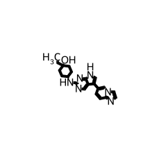 CC[C@]1(O)CC[C@@H](Nc2ncc3c(-c4ccc5nccn5c4)c[nH]c3n2)CC1